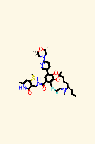 CCC[C@H](CCCC1(C)Oc2c(-c3ccc(N4C[C@@H](C)O[C@@H](C)C4)nc3)cc(C(=O)NCc3c(SC)cc(C)[nH]c3=O)c(C)c2O1)N(C)CC(F)F